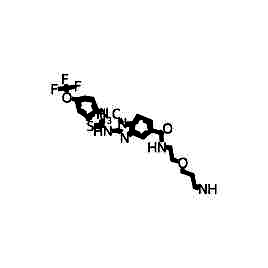 Cn1c(Nc2nc3ccc(OC(F)(F)F)cc3s2)nc2cc(C(=O)NCCOCCC=N)ccc21